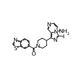 N[N+]12C=CN=CC1=C(C1CCN(C(=O)c3ccc4ncsc4c3)CC1)N=C2I